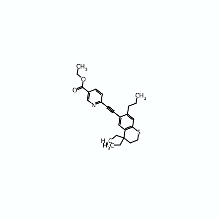 CCCc1cc2c(cc1C#Cc1ccc(C(=O)OCC)cn1)C(CC)(CC)CCS2